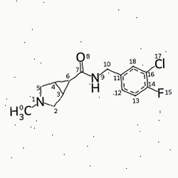 CN1CC2C(C1)C2C(=O)NCc1ccc(F)c(Cl)c1